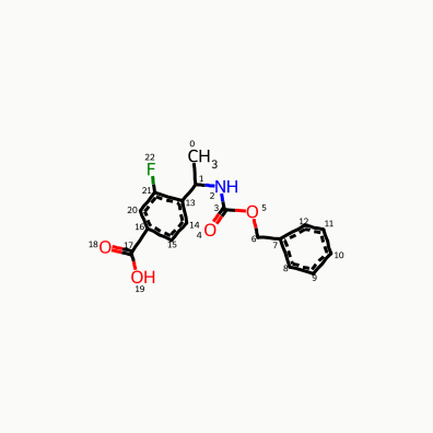 CC(NC(=O)OCc1ccccc1)c1ccc(C(=O)O)cc1F